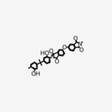 Cc1ccc(C(C)(C)c2ccc(N3C(=O)c4ccc(Oc5ccc6c(c5)C(=O)N(C)C6=O)cc4C3=O)c(O)c2)cc1O